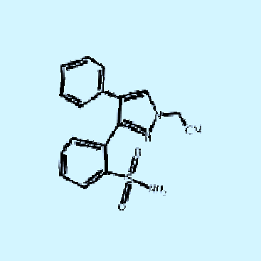 N#CCn1cc(-c2ccccc2)c(-c2ccccc2S(N)(=O)=O)n1